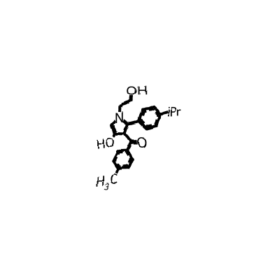 Cc1ccc(C(=O)C2C(O)=CN(CCO)C2c2ccc(C(C)C)cc2)cc1